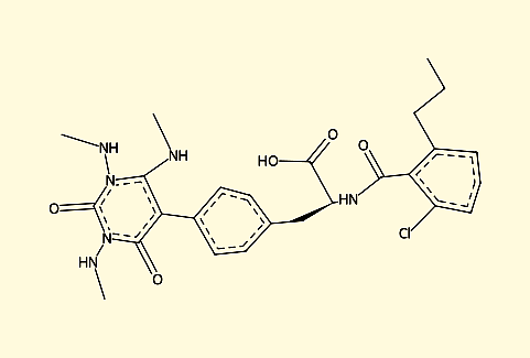 CCCc1cccc(Cl)c1C(=O)N[C@@H](Cc1ccc(-c2c(NC)n(NC)c(=O)n(NC)c2=O)cc1)C(=O)O